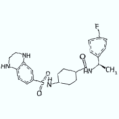 C[C@@H](NC(=O)C1CCC(NS(=O)(=O)c2ccc3c(c2)NCCN3)CC1)c1ccc(F)cc1